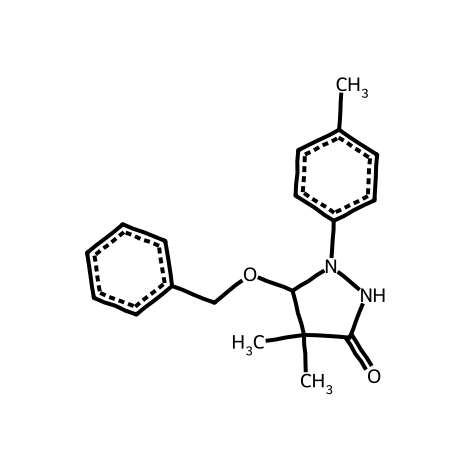 Cc1ccc(N2NC(=O)C(C)(C)C2OCc2ccccc2)cc1